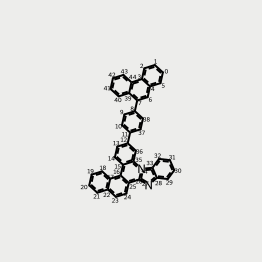 c1ccc2c(c1)cc(-c1ccc(-c3ccc4c5c6ccccc6ccc5c5nc6ccccc6n5c4c3)cc1)c1ccccc12